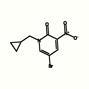 O=c1c([N+](=O)[O-])cc(Br)cn1CC1CC1